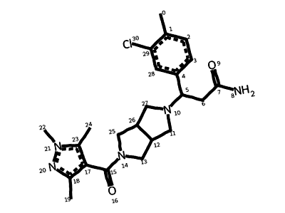 Cc1ccc(C(CC(N)=O)N2CC3CN(C(=O)c4c(C)nn(C)c4C)CC3C2)cc1Cl